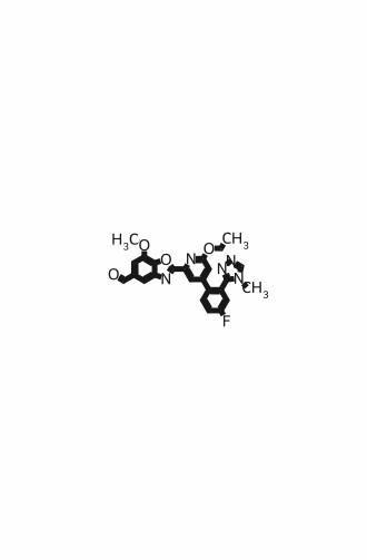 CCOc1cc(-c2ccc(F)cc2-c2nncn2C)cc(-c2nc3cc(C=O)cc(OC)c3o2)n1